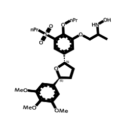 CCCOc1c(OCC(C)NO)cc([C@@H]2CC[C@@H](c3cc(OC)c(OC)c(OC)c3)O2)cc1S(=O)(=O)CCC